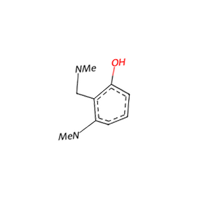 CNCc1c(O)cccc1NC